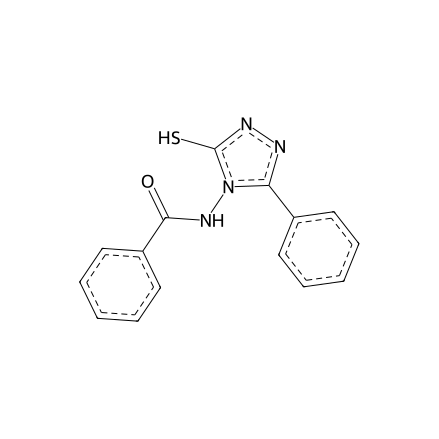 O=C(Nn1c(S)nnc1-c1ccccc1)c1ccccc1